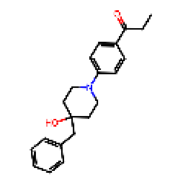 CCC(=O)c1ccc(N2CCC(O)(Cc3ccccc3)CC2)cc1